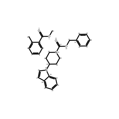 COC(=O)c1ccccc1C.O=C(OCc1ccccc1)N1CCC(n2ccc3ccccc32)CC1